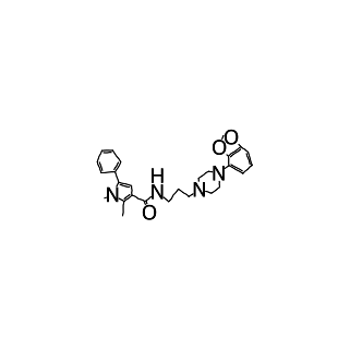 Cc1c(C(=O)NCCCN2CCN(c3cccc4c3OCO4)CC2)cc(-c2ccccc2)n1C